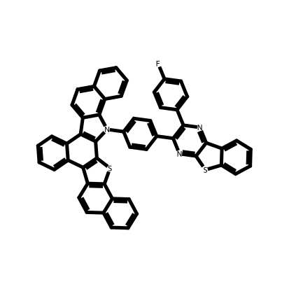 Fc1ccc(-c2nc3c(nc2-c2ccc(-n4c5c6ccccc6ccc5c5c6ccccc6c6c7ccc8ccccc8c7sc6c54)cc2)sc2ccccc23)cc1